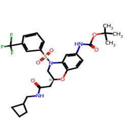 CC(C)(C)OC(=O)Nc1ccc2c(c1)N(S(=O)(=O)c1cccc(C(F)(F)F)c1)C[C@H](CC(=O)NCC1CCC1)O2